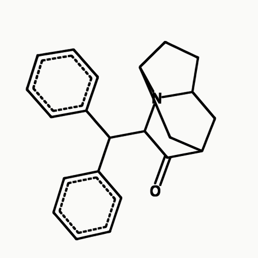 O=C1C2CC3CCC(C2)N3C1C(c1ccccc1)c1ccccc1